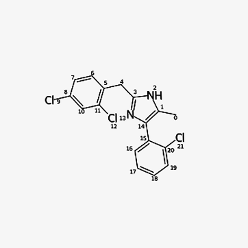 Cc1[nH]c(Cc2ccc(Cl)cc2Cl)nc1-c1ccccc1Cl